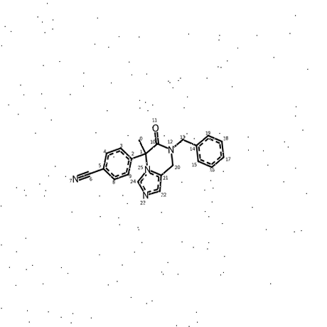 CC1(c2ccc(C#N)cc2)C(=O)N(Cc2ccccc2)Cc2cncn21